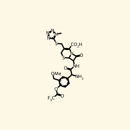 COCc1cc(C(N)C(=O)NC2C(=O)N3C(C(=O)O)=C(CSc4nnnn4C)CSC23)ccc1OC(=O)C(F)(F)F